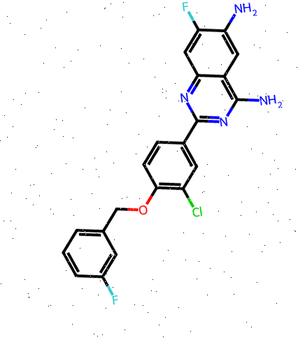 Nc1cc2c(N)nc(-c3ccc(OCc4cccc(F)c4)c(Cl)c3)nc2cc1F